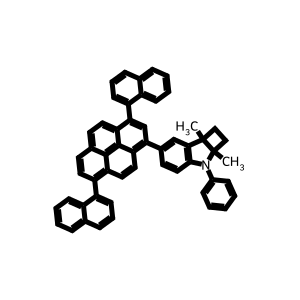 CC12CCC1(C)N(c1ccccc1)c1ccc(-c3cc(-c4cccc5ccccc45)c4ccc5ccc(-c6cccc7ccccc67)c6ccc3c4c56)cc12